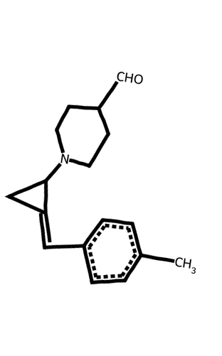 Cc1ccc(C=C2CC2N2CCC(C=O)CC2)cc1